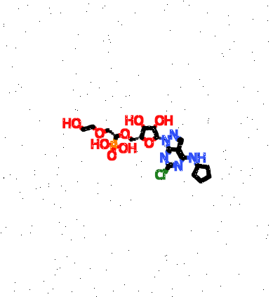 O=P(O)(O)[C@H](COCCO)OC[C@H]1O[C@@H](n2ncc3c(NC4CCCC4)nc(Cl)nc32)[C@H](O)[C@@H]1O